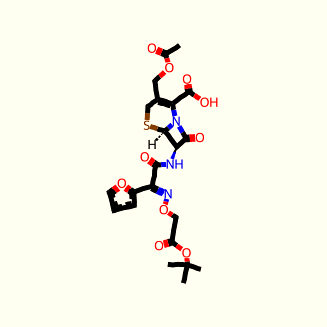 CC(=O)OCC1=C(C(=O)O)N2C(=O)[C@@H](NC(=O)C(=NOCC(=O)OC(C)(C)C)c3ccco3)[C@H]2SC1